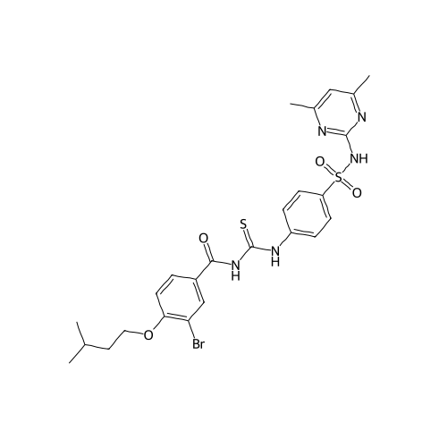 Cc1cc(C)nc(NS(=O)(=O)c2ccc(NC(=S)NC(=O)c3ccc(OCCC(C)C)c(Br)c3)cc2)n1